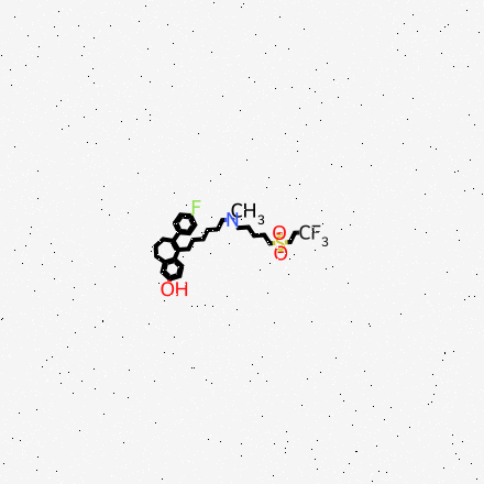 CN(CCCCCCC1=C(c2ccc(F)cc2)CCCc2cc(O)ccc21)CCCCCS(=O)(=O)CCC(F)(F)F